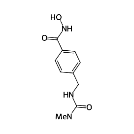 CNC(=O)NCc1ccc(C(=O)NO)cc1